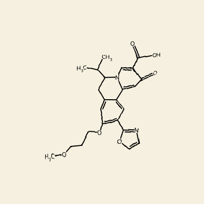 COCCCOc1cc2c(cc1-c1ncco1)-c1cc(=O)c(C(=O)O)cn1C(C(C)C)C2